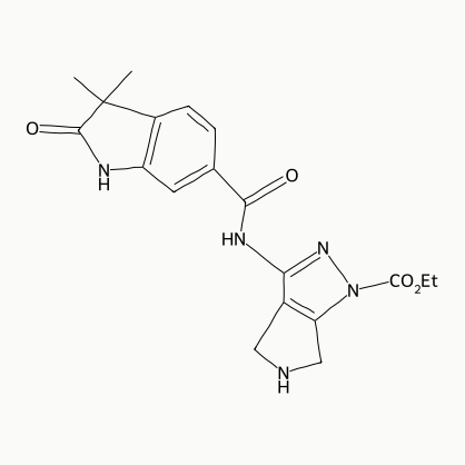 CCOC(=O)n1nc(NC(=O)c2ccc3c(c2)NC(=O)C3(C)C)c2c1CNC2